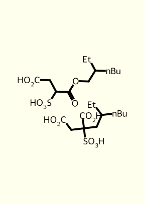 CCCCC(CC)CC(CC(=O)O)(C(=O)O)S(=O)(=O)O.CCCCC(CC)COC(=O)C(CC(=O)O)S(=O)(=O)O